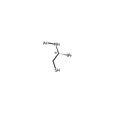 CC(=O)N[C@@H](CS)C(C)C